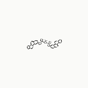 CC1(C)C(C(=O)Oc2ccc3ccc4c5ccccc5ccc4c3c2)CC1C(=O)Oc1ccc2ccc3c4ccccc4ccc3c2c1